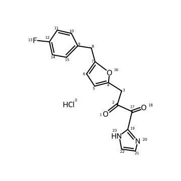 Cl.O=C(Cc1ccc(Cc2ccc(F)cc2)o1)C(=O)c1ncc[nH]1